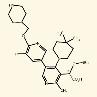 Cc1ncc(-c2cnc(OCC3CCNCC3)c(F)c2)c(N2CCC(C)(C)CC2)c1[C@H](OC(C)(C)C)C(=O)O